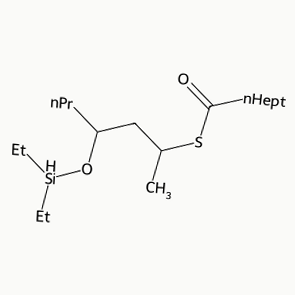 CCCCCCCC(=O)SC(C)CC(CCC)O[SiH](CC)CC